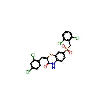 O=C1Nc2ccc(S(=O)(=O)Cc3c(Cl)cccc3Cl)cc2S/C1=C/c1ccc(Cl)cc1Cl